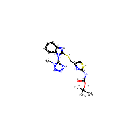 Cn1nnnc1-n1c(SCc2csc(NC(=O)OC(C)(C)C)n2)nc2ccccc21